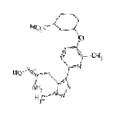 Cc1nc(-c2nnn(C)c2C/C(N)=N/O)ccc1OC1CCCC(C(=O)O)C1